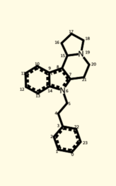 c1ccc(CCn2c3c(c4ccccc42)C2CCCN2CC3)cc1